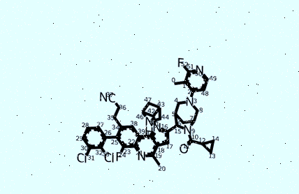 Cc1c(N2CC3CC(C2)N(C(=O)C2CC2)C3c2cc3c(C)nc4c(F)c(-c5cccc(Cl)c5Cl)c(CCC#N)cc4c3n2C2C3CNC2C3)ccnc1F